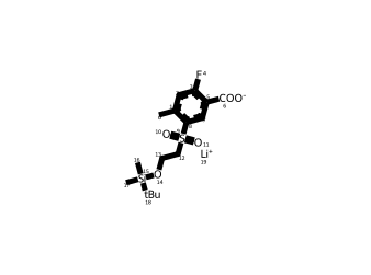 Cc1cc(F)c(C(=O)[O-])cc1S(=O)(=O)CCO[Si](C)(C)C(C)(C)C.[Li+]